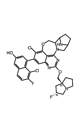 Oc1cc(-c2cc3nc(OC[C@@]45CCCN4C[C@H](F)C5)nc4c3c(c2Cl)OCC2C3CCC(CN42)N3)c2c(Cl)c(F)ccc2c1